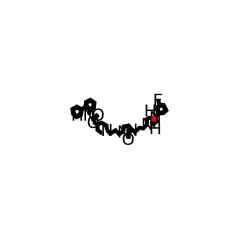 O=C(Nc1ccccc1-c1ccccc1)OC1CCN(CCCN2CCN(CCCN3C[C@H]4C[C@@H]3CN4c3cccc(F)c3)C2=O)CC1